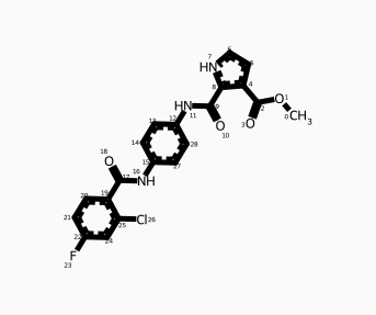 COC(=O)c1cc[nH]c1C(=O)Nc1ccc(NC(=O)c2ccc(F)cc2Cl)cc1